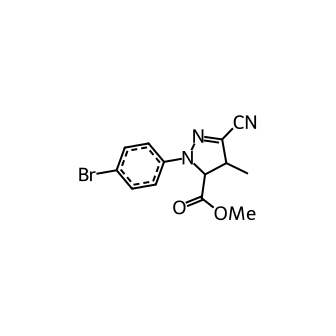 COC(=O)C1C(C)C(C#N)=NN1c1ccc(Br)cc1